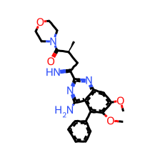 COc1cc2nc(C(=N)C[C@H](C)C(=O)N3CCOCC3)nc(N)c2c(-c2ccccc2)c1OC